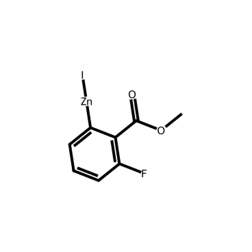 COC(=O)c1c(F)ccc[c]1[Zn][I]